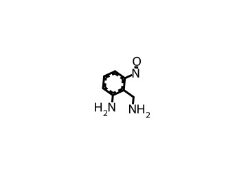 NCc1c(N)cccc1N=O